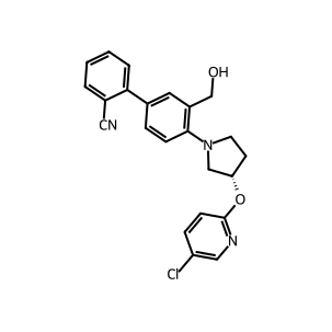 N#Cc1ccccc1-c1ccc(N2CC[C@H](Oc3ccc(Cl)cn3)C2)c(CO)c1